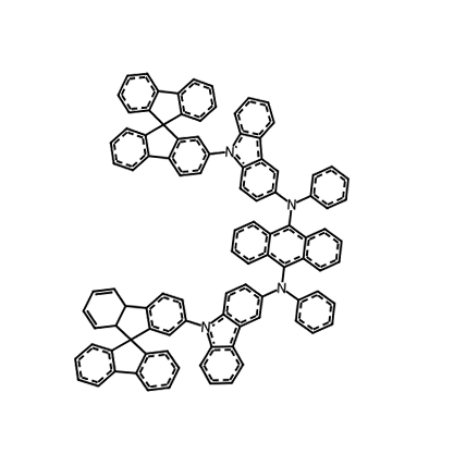 C1=CC2c3ccc(-n4c5ccccc5c5cc(N(c6ccccc6)c6c7ccccc7c(N(c7ccccc7)c7ccc8c(c7)c7ccccc7n8-c7ccc8c(c7)C7(c9ccccc9-c9ccccc97)c7ccccc7-8)c7ccccc67)ccc54)cc3C3(c4ccccc4-c4ccccc43)C2C=C1